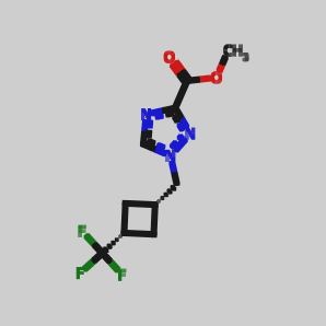 COC(=O)c1ncn(C[C@H]2C[C@@H](C(F)(F)F)C2)n1